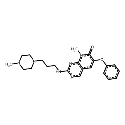 CN1CCN(CCCNc2ncc3cc(Oc4ccccc4)c(=O)n(C)c3n2)CC1